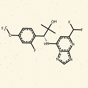 CC(C)(O)[C@H](Nc1cc(C(F)F)nc2ncnn12)c1ccc(OC(F)(F)F)cc1F